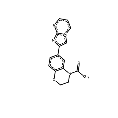 CC(=O)N1CCOc2ccc(-c3cn4cccnc4n3)cc21